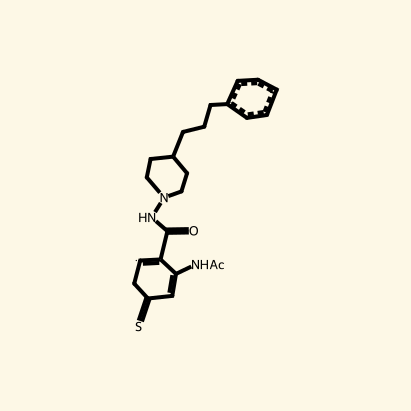 CC(=O)NC1=CC(=S)C[C]=C1C(=O)NN1CCC(CCCc2ccccc2)CC1